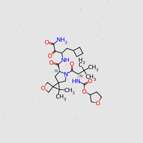 CC(C)(C)[C@H](NC(=O)OC1CCOC1)C(=O)N1CC2(C[C@H]1C(=O)NC(CC1CCC1)C(=O)C(N)=O)C(C)(C)C21COC1